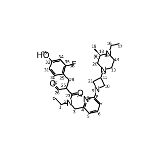 CCN(Cc1cccc(N2CC(N3CCN(CC)[C@H](C)C3)C2)n1)C(=O)C(C=O)Cc1ccc(O)cc1F